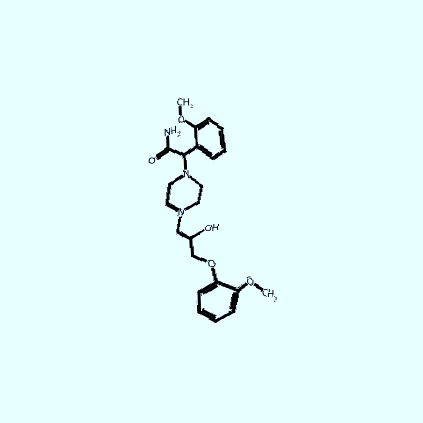 COc1ccccc1OCC(O)CN1CCN(C(C(N)=O)c2ccccc2OC)CC1